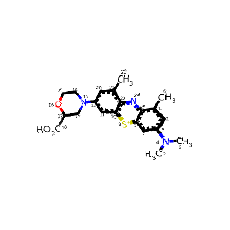 Cc1cc(N(C)C)cc2[s+]c3cc(N4CCOC(C(=O)O)C4)cc(C)c3nc12